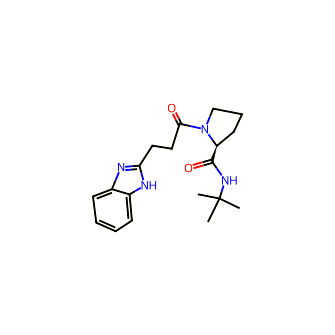 CC(C)(C)NC(=O)[C@@H]1CCCN1C(=O)CCc1nc2ccccc2[nH]1